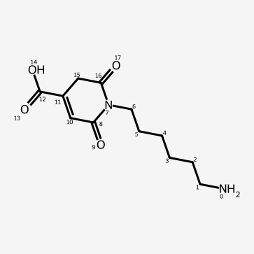 NCCCCCCN1C(=O)C=C(C(=O)O)CC1=O